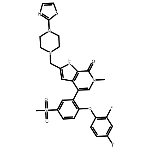 Cn1cc(-c2cc(S(C)(=O)=O)ccc2Oc2ccc(F)cc2F)c2cc(CN3CCN(c4nccs4)CC3)[nH]c2c1=O